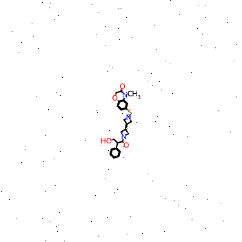 CN1C(=O)COc2ccc(SN3CC(=C4CN(C(=O)C(CO)c5ccccc5)C4)C3)cc21